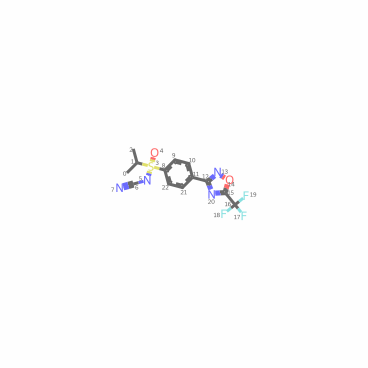 CC(C)S(=O)(=NC#N)c1ccc(-c2noc(C(F)(F)F)n2)cc1